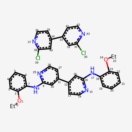 CCOc1ccccc1Nc1cc(-c2ccnc(Nc3ccccc3OCC)c2)ccn1.Clc1cc(-c2ccnc(Cl)c2)ccn1